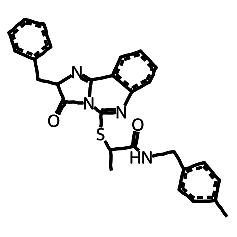 Cc1ccc(CNC(=O)C(C)SC2=Nc3ccccc3C3=NC(Cc4ccccc4)C(=O)N23)cc1